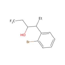 CCC(c1ccccc1Br)C(O)CC(F)(F)F